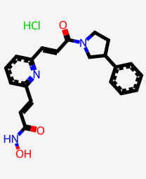 Cl.O=C(C=Cc1cccc(C=CC(=O)N2CCC(c3ccccc3)C2)n1)NO